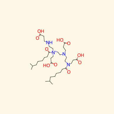 CC(C)CCCCCC(=O)N(CCC(=O)O)CCN(CCC(=O)O)CC[N+](CCNCCC(=O)O)(CCC(=O)O)C(=O)CCCCCC(C)C